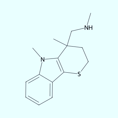 CNCC1(C)CCSc2c1n(C)c1ccccc21